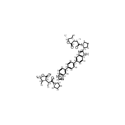 CC1[C@H]([C@H](C)C(=O)N2CCC[C@H]2c2nc3cc(-c4ccc(-c5ccc6[nH]c([C@@H]7CCCN7C(=O)[C@@H](C)[C@@H]7C(=O)O[C@H](C)C7C)nc6c5)cc4)ccc3[nH]2)C(=O)O[C@@H]1C